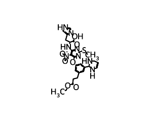 CCOC(=O)CCc1cc(Oc2nc(SC)nc(NC(Cc3c[nH]cn3)C(=O)O)c2[N+](=O)[O-])cc(C2NC=CCN2)c1